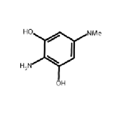 CNc1cc(O)c(N)c(O)c1